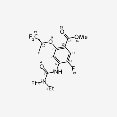 CCN(CC)C(=O)Nc1cc(O[C@@H](C)C(F)(F)F)c(C(=O)OC)cc1F